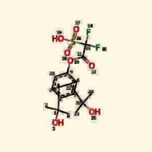 CC(C)(O)C1c2ccc(c(OC(=O)C(F)(F)S(=O)(=O)O)c2)C1C(C)(C)O